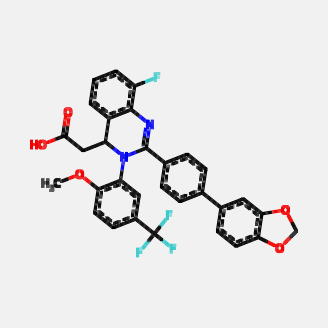 COc1ccc(C(F)(F)F)cc1N1C(c2ccc(-c3ccc4c(c3)OCO4)cc2)=Nc2c(F)cccc2C1CC(=O)O